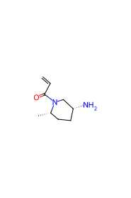 C=CC(=O)N1C[C@H](N)CC[C@@H]1C